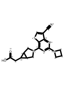 N#Cc1csc2c(N3CC4C(CC(=O)O)C4C3)nc(N3CCC3)nc12